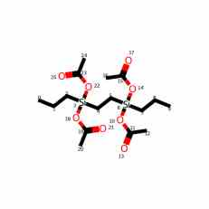 CCC[Si](CC[Si](CCC)(OC(C)=O)OC(C)=O)(OC(C)=O)OC(C)=O